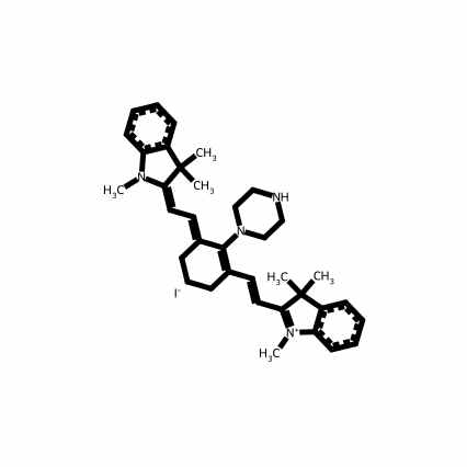 CN1/C(=C/C=C2\CCCC(/C=C/C3=[N+](C)c4ccccc4C3(C)C)=C2N2CCNCC2)C(C)(C)c2ccccc21.[I-]